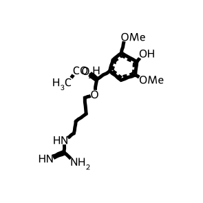 CC(=O)O.COc1cc(C(=O)OCCCCNC(=N)N)cc(OC)c1O